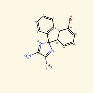 CC1=NC(c2ccccc2)(C2C=CC=C(Br)C2)N=C1N